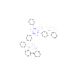 CC1(C)c2ccccc2-c2ccc(-c3nc(-c4ccccc4)nc(-c4ccc(-c5cccc6c5C(C)(C)c5c-6ccc6oc7ccccc7c56)cc4)n3)cc21